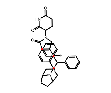 O=C1CCC(N2Cc3c(ccc(CN4C5CCC4CN(C(c4ccccc4)c4ccccc4)C5)c3F)C2=O)C(=O)N1